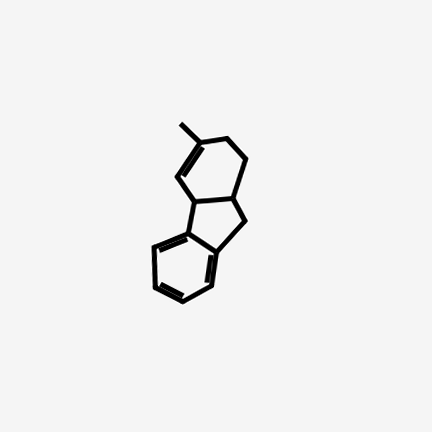 CC1=CC2c3ccccc3CC2CC1